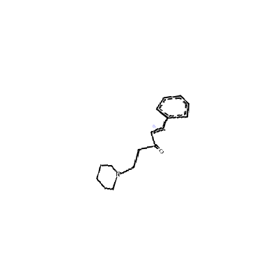 O=C(/C=C/c1ccccc1)CCN1CCCCC1